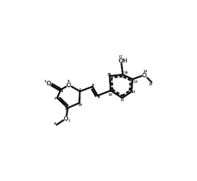 COC1=CC(=O)OC(C=Cc2ccc(OC)c(O)c2)C1